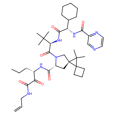 C=CCNC(=O)C(=O)[C@H](CCC)NC(=O)[C@H]1C[C@@]2(CN1C(=O)[C@H](NC(=O)[C@@H](NC(=O)c1cnccn1)C1CCCCC1)C(C)(C)C)C(C)(C)C21CCC1